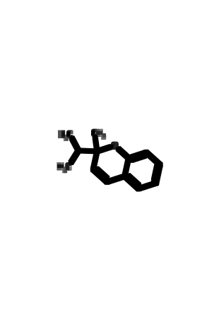 CC(C)C1(C)C=Cc2ccccc2O1